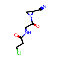 N#CC1CN1C(=O)CNC(=O)CCCl